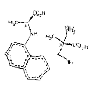 CC(C)C[C@](C)(N)C(=O)O.C[C@H](Nc1cccc2ccccc12)C(=O)O